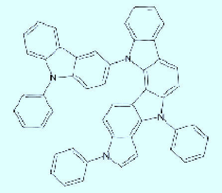 c1ccc(-n2ccc3c2ccc2c4c(ccc5c6ccccc6n(-c6ccc7c(c6)c6ccccc6n7-c6ccccc6)c54)n(-c4ccccc4)c23)cc1